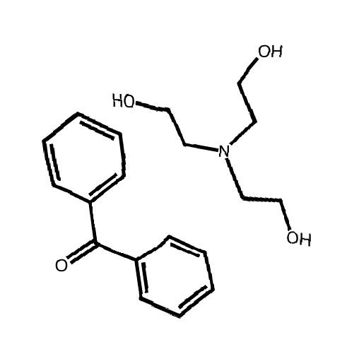 O=C(c1ccccc1)c1ccccc1.OCCN(CCO)CCO